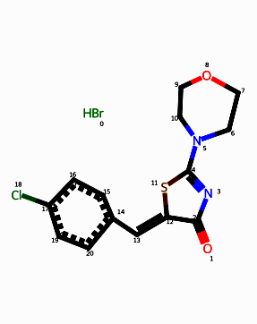 Br.O=C1N=C(N2CCOCC2)SC1=Cc1ccc(Cl)cc1